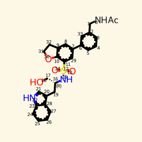 CC(=O)NCc1cccc(-c2cc3c(c(S(=O)(=O)N[C@@H](CO)Cc4c[nH]c5ccccc45)c2)OCC3)c1